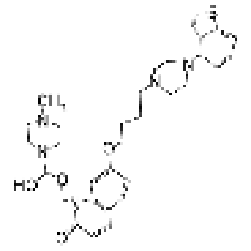 CN1CCN(C(O)OCn2c(=O)ccc3ccc(OCCCCN4CCN(c5cccc6sccc56)CC4)cc32)CC1